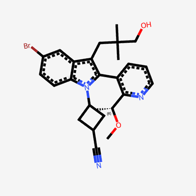 CO[C@H](C)c1ncccc1-c1c(CC(C)(C)CO)c2cc(Br)ccc2n1C1CC(C#N)C1